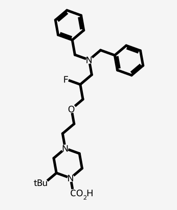 CC(C)(C)C1CN(CCOCC(F)CN(Cc2ccccc2)Cc2ccccc2)CCN1C(=O)O